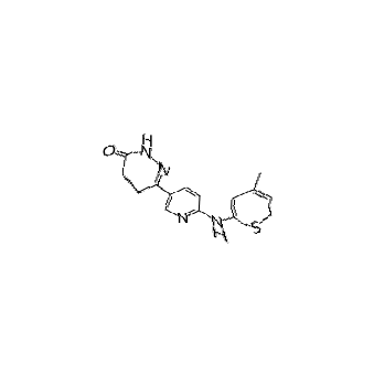 CC1=CCSC(Nc2ccc(C3=NNC(=O)CC3)cn2)=C1